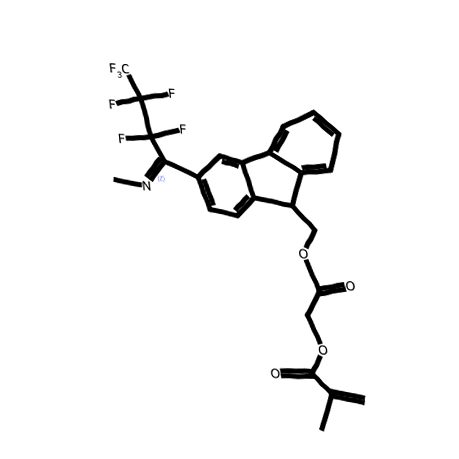 C=C(C)C(=O)OCC(=O)OCC1c2ccccc2-c2cc(/C(=N/C)C(F)(F)C(F)(F)C(F)(F)F)ccc21